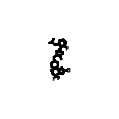 Cc1nn(-c2c(F)cccc2CN(C)C)cc1CN1CCC2(CC1)OCC(F)(F)c1cc(Cl)sc12